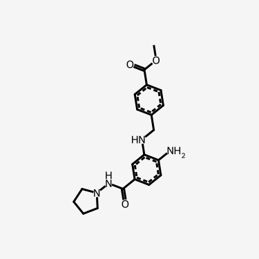 COC(=O)c1ccc(CNc2cc(C(=O)NN3CCCC3)ccc2N)cc1